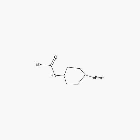 CCCCCC1CCC(NC(=O)CC)CC1